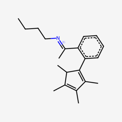 CCCC/N=C(\C)c1ccccc1C1=C(C)C(C)=C(C)C1C